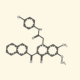 COc1cc2c(=O)c(C(=O)c3ccc4ccccc4c3)cn(CC(=O)Nc3ccc(Cl)cc3)c2cc1C